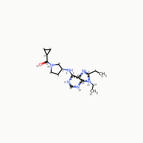 CCc1nc2c(N[C@H]3CCN(C(=O)C4CC4)C3)ncnc2n1CC